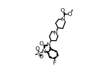 COC(=O)N1CCC(N2CCC(n3c(=O)n(S(C)(=O)=O)c4cc(F)ccc43)CC2)CC1